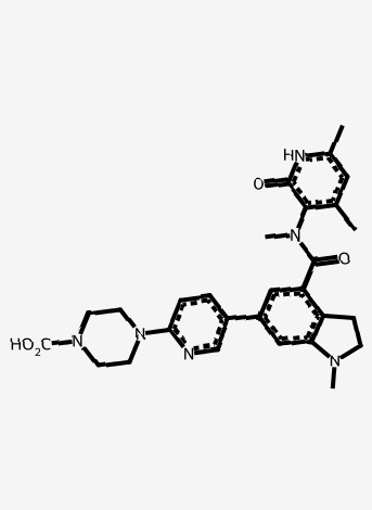 Cc1cc(C)c(N(C)C(=O)c2cc(-c3ccc(N4CCN(C(=O)O)CC4)nc3)cc3c2CCN3C)c(=O)[nH]1